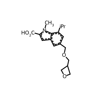 CC(C)c1cc(COCC2COC2)cc2cc(C(=O)O)n(C)c12